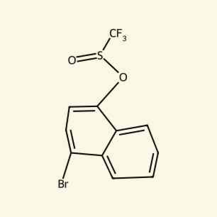 O=S(Oc1ccc(Br)c2ccccc12)C(F)(F)F